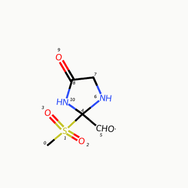 CS(=O)(=O)C1([C]=O)NCC(=O)N1